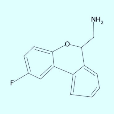 NCC1Oc2ccc(F)cc2-c2ccccc21